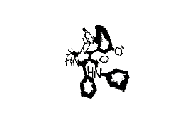 COc1ccc(OC)c(C2NC(=S)NC(c3ccccc3)=C2C(=O)Nc2ccccc2)c1